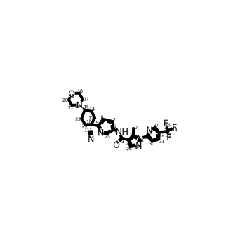 Cc1c(C(=O)Nc2ccc([C@]3(C#N)CC[C@@H](N4CCOCC4)CC3)nc2)cnn1-c1ccc(C(F)(F)F)cn1